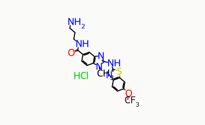 Cl.Cn1c(Nc2nc3ccc(OC(F)(F)F)cc3s2)nc2cc(C(=O)NCCCN)ccc21